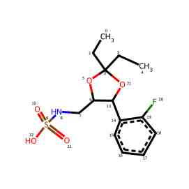 CCC1(CC)OC(CNS(=O)(=O)O)C(c2ccccc2F)O1